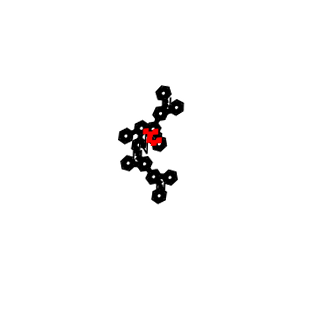 c1ccc(-c2cccc(-c3ccccc3)c2-c2ccc(-n3c4ccccc4c4cc(-c5ccc6c(c5)c5ccccc5n6-c5ccccc5)ccc43)nc2-n2c3ccccc3c3cc(-c4ccc5c(c4)c4ccccc4n5-c4ccccc4)ccc32)cc1